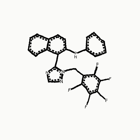 Fc1c(F)c(F)c(Cn2ncnc2-c2c(Pc3ccccc3)ccc3ccccc23)c(F)c1F